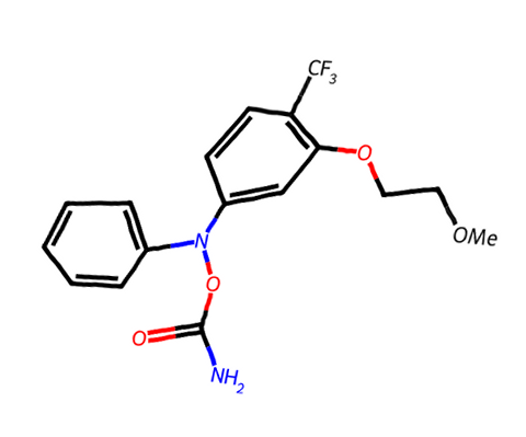 COCCOc1cc(N(OC(N)=O)c2ccccc2)ccc1C(F)(F)F